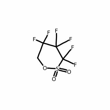 O=S1(=O)OCC(F)(F)C(F)(F)C1(F)F